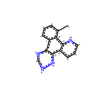 Cc1cccc2c3ncnnc3c3cccnc3c12